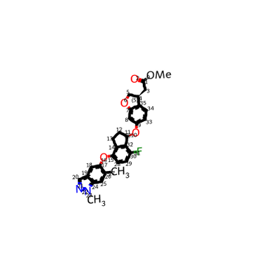 COC(=O)C[C@@H]1COc2cc(O[C@@H]3CCc4c(Oc5cc6cnn(C)c6cc5C)ccc(F)c43)ccc21